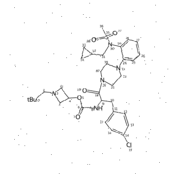 CC(C)(C)CN1CC(OC(=O)NC(Cc2ccc(Cl)cc2)C(=O)N2CCN(c3ccccc3N(CC3CC3)S(C)(=O)=O)CC2)C1